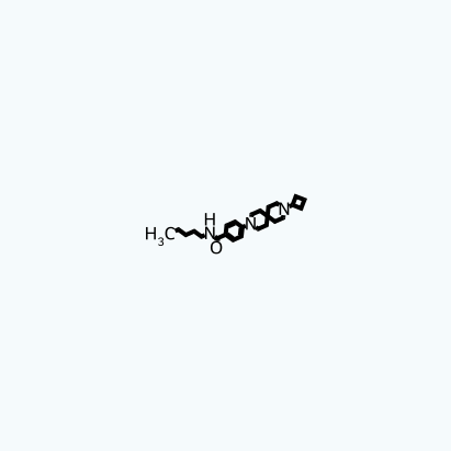 CCCCCNC(=O)c1ccc(N2CCC3(CC2)CCN(C2CCC2)CC3)cc1